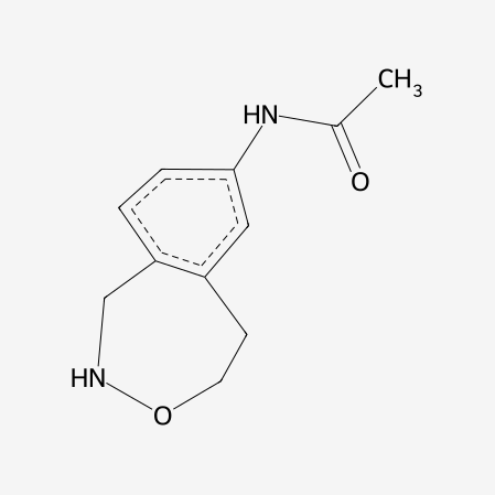 CC(=O)Nc1ccc2c(c1)CCONC2